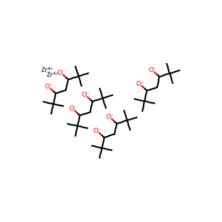 CC(C)(C)C([O-])CC([O-])C(C)(C)C.CC(C)(C)C([O-])CC([O-])C(C)(C)C.CC(C)(C)C([O-])CC([O-])C(C)(C)C.CC(C)(C)C([O-])CC([O-])C(C)(C)C.[Zr+4].[Zr+4]